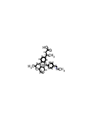 C/N=C/c1cnc(Nc2cc([C@H](C)CC(=O)O)ccc2N(CC(C)C)C2CCOCC2)nc1